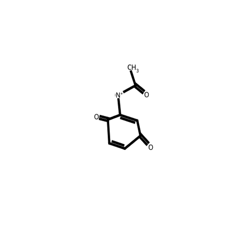 CC(=O)[N+]C1=CC(=O)C=CC1=O